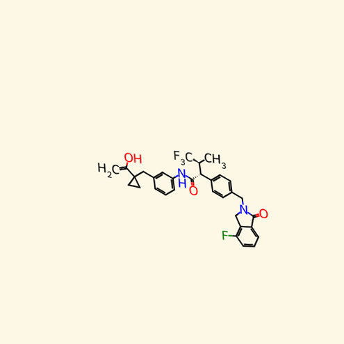 C=C(O)C1(Cc2cccc(NC(=O)[C@@H](c3ccc(CN4Cc5c(F)cccc5C4=O)cc3)[C@H](C)C(F)(F)F)c2)CC1